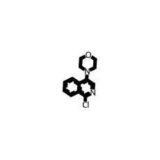 Clc1ncc(N2CCOCC2)c2ccccc12